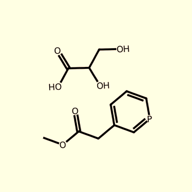 COC(=O)Cc1cccpc1.O=C(O)C(O)CO